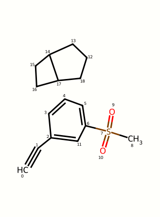 C#Cc1cccc(S(C)(=O)=O)c1.C1CC2CCC2C1